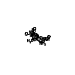 CC(C)C[C@@H](NC(=O)[C@@H](Cc1ccccc1)NC(=O)[C@H](N)Cc1ccccc1)C(=O)N[C@H](CCCCN)C(=O)N1CCC(N2C=C(c3ccccc3)NC2O)CC1